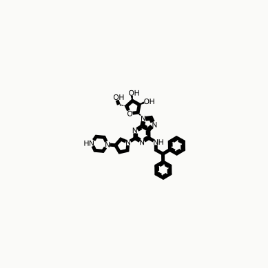 OC[C@H]1O[C@@H](n2cnc3c(NCC(c4ccccc4)c4ccccc4)nc(N4CCC(N5CCNCC5)C4)nc32)[C@H](O)[C@@H]1O